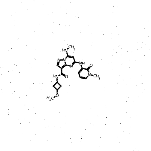 CNc1cc(Nc2cccn(C)c2=O)nc2c(C(=O)NC3CC(OC)C3)cnn12